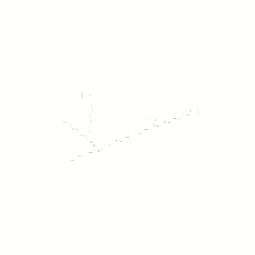 CCCCCCCCC(=O)OCCCCCCCCCCN(CCCCCO)CCC(CCCCCC)CCCCCCCC